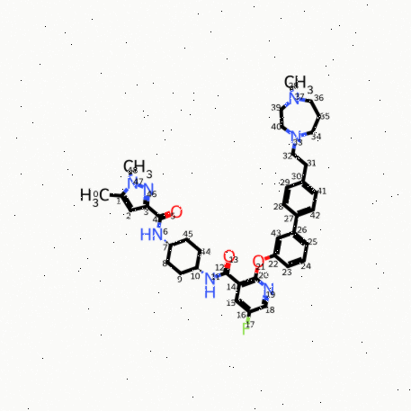 Cc1cc(C(=O)N[C@H]2CC[C@@H](NC(=O)c3cc(F)cnc3Oc3cccc(-c4ccc(CCN5CCCN(C)CC5)cc4)c3)CC2)nn1C